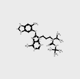 Cc1cc2c(cc1Sc1nc3c(N)ncnc3n1CCCN(C(=O)OC(C)(C)C)C(C)C)OCO2